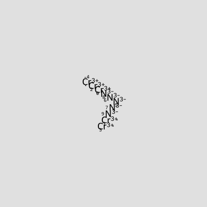 [Cr+3].[Cr+3].[Cr+3].[Cr+3].[Cr+3].[N-3].[N-3].[N-3].[N-3].[N-3]